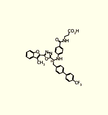 Cc1c(-c2nnc([C@H](Cc3ccc(-c4ccc(C(F)(F)F)cc4)cc3)Nc3ccc(C(=O)NCCC(=O)O)cc3)o2)oc2ccccc12